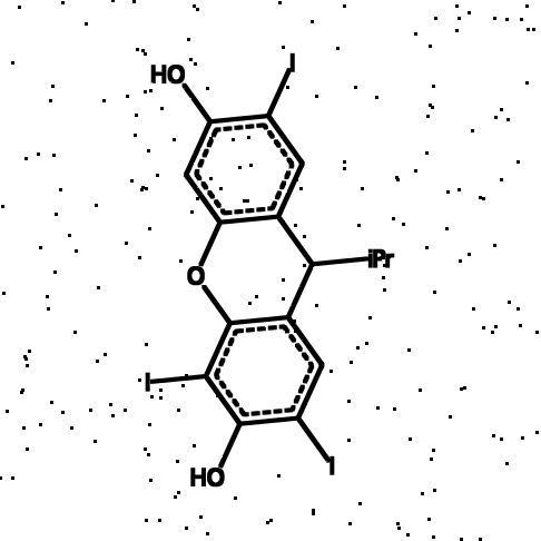 CC(C)C1c2cc(I)c(O)cc2Oc2c1cc(I)c(O)c2I